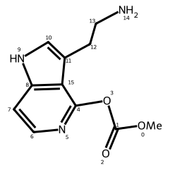 COC(=O)Oc1nccc2[nH]cc(CCN)c12